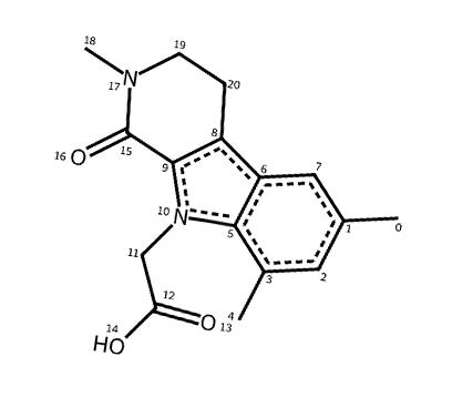 Cc1cc(C)c2c(c1)c1c(n2CC(=O)O)C(=O)N(C)CC1